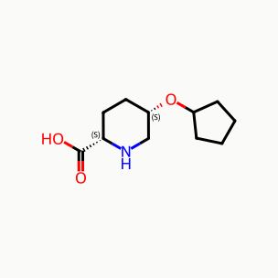 O=C(O)[C@@H]1CC[C@H](OC2CCCC2)CN1